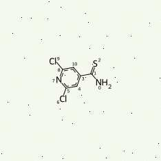 NC(=S)c1cc(Cl)nc(Cl)c1